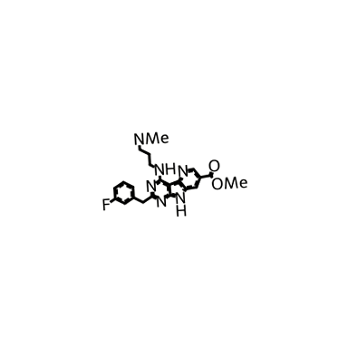 CNCCCNc1nc(Cc2cccc(F)c2)nc2[nH]c3cc(C(=O)OC)cnc3c12